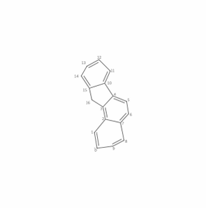 [c]1[c]c2c3c(ccc2cc1)-c1ccccc1C3